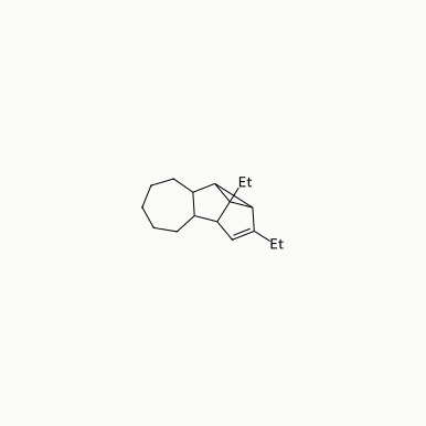 CCC1=CC2C3CCCCCC3C3C1C23CC